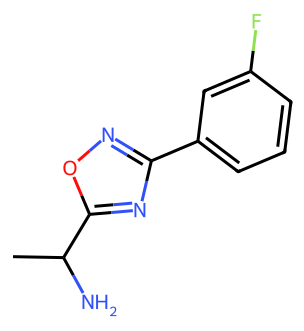 CC(N)c1nc(-c2cccc(F)c2)no1